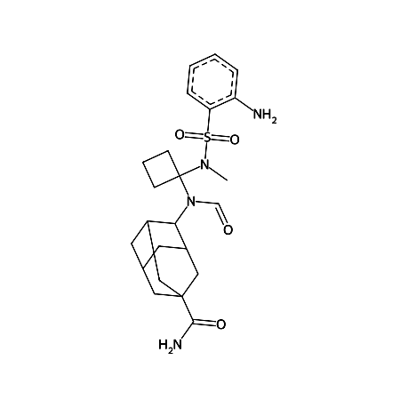 CN(C1(N(C=O)C2C3CC4CC2CC(C(N)=O)(C4)C3)CCC1)S(=O)(=O)c1ccccc1N